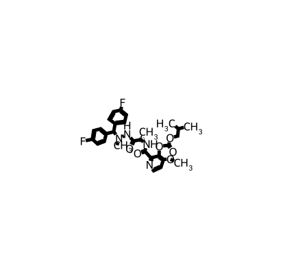 COc1ccnc(C(=O)N[C@@H](C)C(=O)NN(C)C(c2ccc(F)cc2)c2ccc(F)cc2)c1OC(=O)OCC(C)C